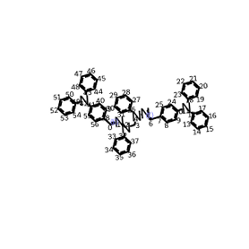 C(=N\N(CN(/N=C/c1ccc(N(c2ccccc2)c2ccccc2)cc1)c1ccccc1)c1ccccc1)/c1ccc(N(c2ccccc2)c2ccccc2)cc1